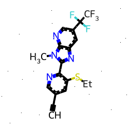 C#Cc1cnc(-c2nc3cc(C(F)(F)C(F)(F)F)cnc3n2C)c(SCC)c1